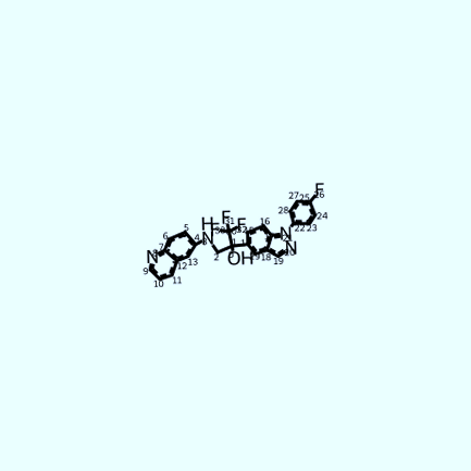 OC(CNc1ccc2ncccc2c1)(c1ccc2c(cnn2-c2ccc(F)cc2)c1)C(F)(F)F